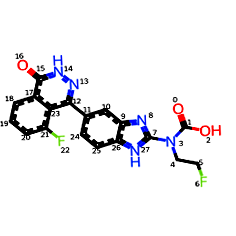 O=C(O)N(CCF)c1nc2cc(-c3n[nH]c(=O)c4cccc(F)c34)ccc2[nH]1